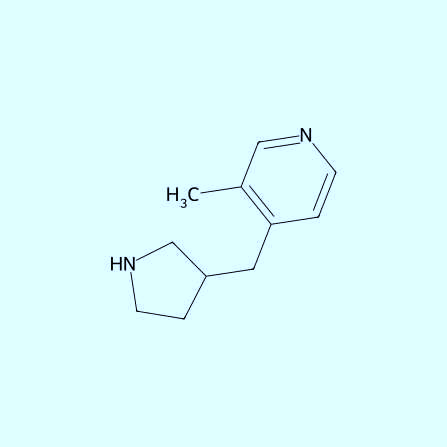 Cc1cnccc1CC1CCNC1